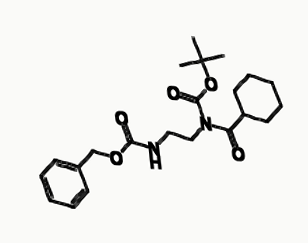 CC(C)(C)OC(=O)N(CCNC(=O)OCc1ccccc1)C(=O)C1CCCCC1